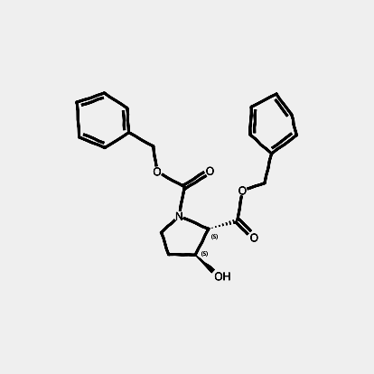 O=C(OCc1ccccc1)[C@@H]1[C@@H](O)CCN1C(=O)OCc1ccccc1